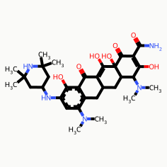 CN(C)c1cc(NC2CC(C)(C)NC(C)(C)C2)c(O)c2c1CC1CC3C(N(C)C)C(O)=C(C(N)=O)C(=O)C3(O)C(O)=C1C2=O